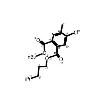 CCCCOC(=O)c1cc(C)c(Cl)cc1C(=O)OCCCC(C)C